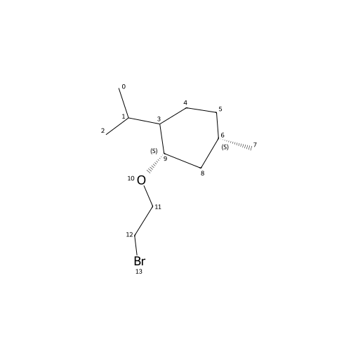 CC(C)C1CC[C@H](C)C[C@@H]1OCCBr